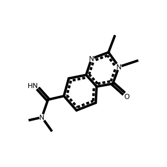 Cc1nc2cc(C(=N)N(C)C)ccc2c(=O)n1C